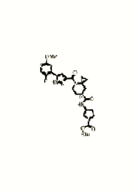 COc1cc(-c2cc(C(=O)N3CC[C@H](C(=O)NC4CCN(C(=O)OC(C)(C)C)C4)CC34CC4)n[nH]2)c(F)cn1